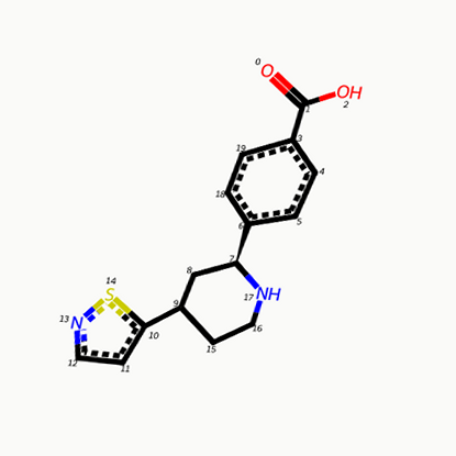 O=C(O)c1ccc([C@@H]2CC(c3ccns3)CCN2)cc1